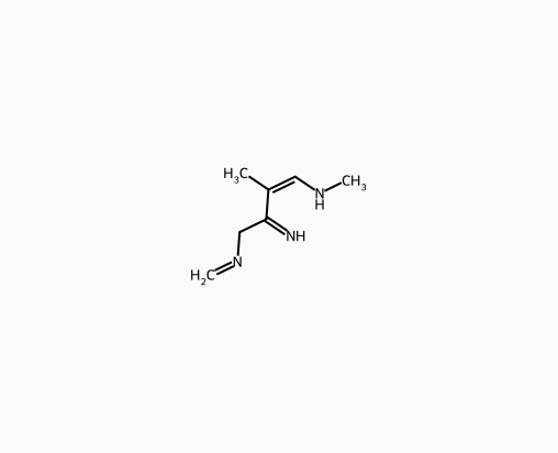 C=NCC(=N)/C(C)=C\NC